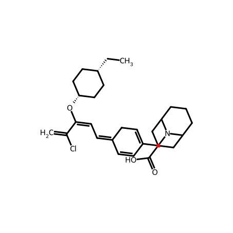 C=C(Cl)/C(=C\C=C1\C=CC(CN2C3CCCC2CC(C(=O)O)C3)=CC1)O[C@H]1CC[C@@H](CC)CC1